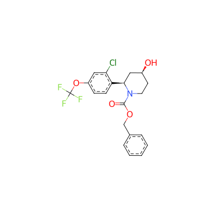 O=C(OCc1ccccc1)N1CC[C@H](O)C[C@@H]1c1ccc(OC(F)(F)F)cc1Cl